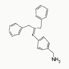 NCc1ccc(C=C(Cc2ccccc2)Cc2ccccc2)cc1